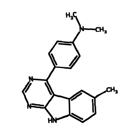 Cc1ccc2[nH]c3ncnc(-c4ccc(N(C)C)cc4)c3c2c1